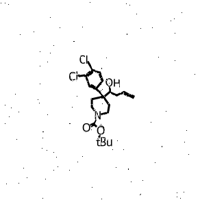 C=CCC(O)C1(c2ccc(Cl)c(Cl)c2)CCN(C(=O)OC(C)(C)C)CC1